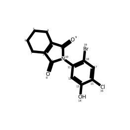 O=C1C2=C(CCCC2)C(=O)N1c1cc(O)c(Cl)cc1Br